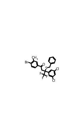 Cc1cc(C(=O)CC(SCc2ccccc2)(c2cc(Cl)cc(Cl)c2)C(F)(F)F)ccc1Br